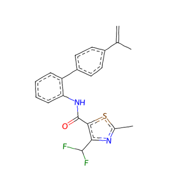 C=C(C)c1ccc(-c2ccccc2NC(=O)c2sc(C)nc2C(F)F)cc1